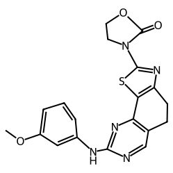 COc1cccc(Nc2ncc3c(n2)-c2sc(N4CCOC4=O)nc2CC3)c1